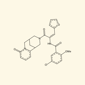 COc1ccc(Cl)cc1C(=O)N/C(=C/c1ccco1)C(=O)N1CC2CC(C1)c1cccc(=O)n1C2